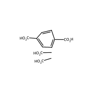 CC(=O)O.CC(=O)O.O=C(O)c1ccc(C(=O)O)cc1